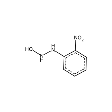 O=[N+]([O-])c1ccccc1NNO